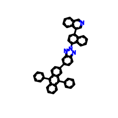 c1ccc(-c2c3ccccc3c(-c3ccccc3)c3cc(-c4ccc5nn(-c6ccc(-c7cncc8ccccc78)c7ccccc67)nc5c4)ccc23)cc1